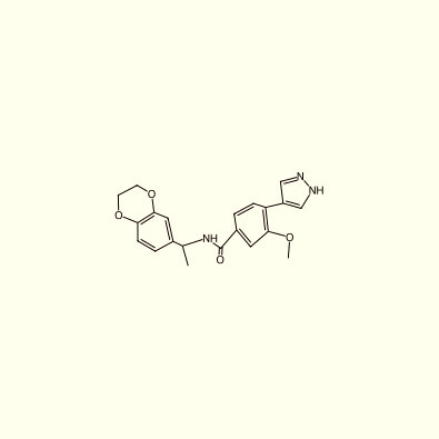 COc1cc(C(=O)NC(C)c2ccc3c(c2)OCCO3)ccc1-c1cn[nH]c1